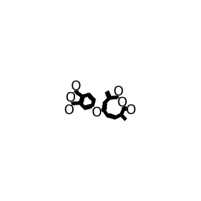 C=C1/C=C(Oc2ccc3c(c2)C(=O)OC3=O)\C=C/C(C)C(=O)OC1=O